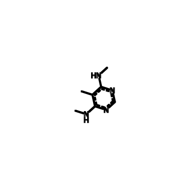 CNc1ncnc(NC)c1C